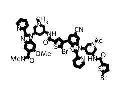 CNC(=O)c1cc2nc(-c3ccccn3)n(C3CC(NC(=O)c4cc(-c5cc(C#N)cc6c5nc(-c5ccccn5)n6C5CC(NC(=O)c6ccc(Br)s6)CN(C(C)=O)C5)c(Br)s4)CN(C)C3)c2cc1OC